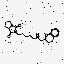 O=C1C2CCCN2C(=O)N1CCCCCNCC1CCc2ccccc2O1